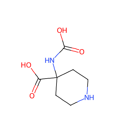 O=C(O)NC1(C(=O)O)CCNCC1